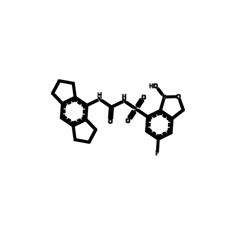 O=C(Nc1c2c(cc3c1CCC3)CCC2)NS(=O)(=O)c1cc(F)cc2c1B(O)OC2